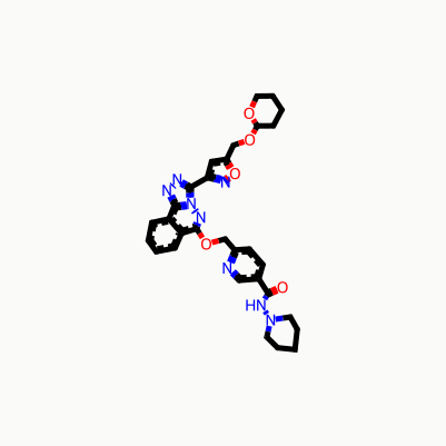 O=C(NN1CCCCC1)c1ccc(COc2nn3c(-c4cc(COC5CCCCO5)on4)nnc3c3ccccc23)nc1